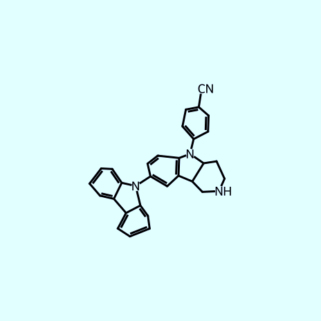 N#Cc1ccc(N2c3ccc(-n4c5ccccc5c5ccccc54)cc3C3CNCCC32)cc1